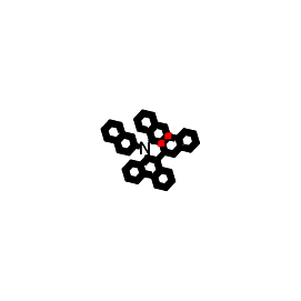 c1ccc2cc(-c3c(N(c4ccc5ccccc5c4)c4cccc5ccccc45)c4ccccc4c4ccccc34)ccc2c1